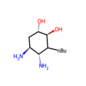 CCCCC1[C@H](N)[C@@H](N)C[C@H](O)[C@H]1O